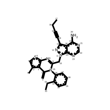 C=C1c2c(C)csc2N=C(Cn2nc(C#CCC)c3c(N)ncnc32)N1c1ccccc1CC